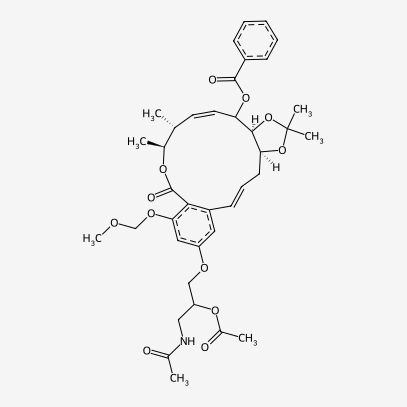 COCOc1cc(OCC(CNC(C)=O)OC(C)=O)cc2c1C(=O)O[C@@H](C)[C@H](C)/C=C\C(OC(=O)c1ccccc1)[C@H]1OC(C)(C)O[C@H]1C/C=C/2